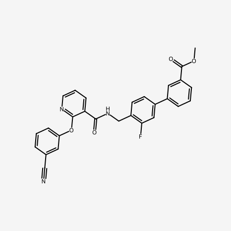 COC(=O)c1cccc(-c2ccc(CNC(=O)c3cccnc3Oc3cccc(C#N)c3)c(F)c2)c1